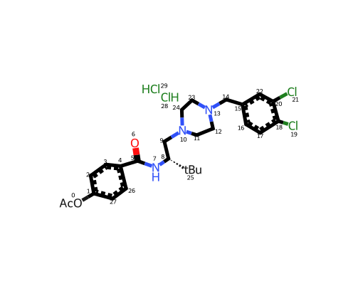 CC(=O)Oc1ccc(C(=O)N[C@H](CN2CCN(Cc3ccc(Cl)c(Cl)c3)CC2)C(C)(C)C)cc1.Cl.Cl